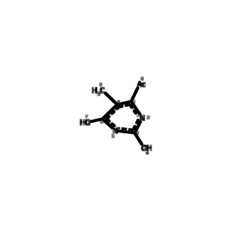 CC(=O)c1nc(O)nc(O)c1C